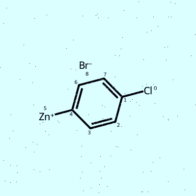 Clc1cc[c]([Zn+])cc1.[Br-]